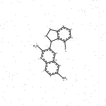 Nc1ccc2nc(N)c(C3CCc4cccc(F)c43)cc2c1